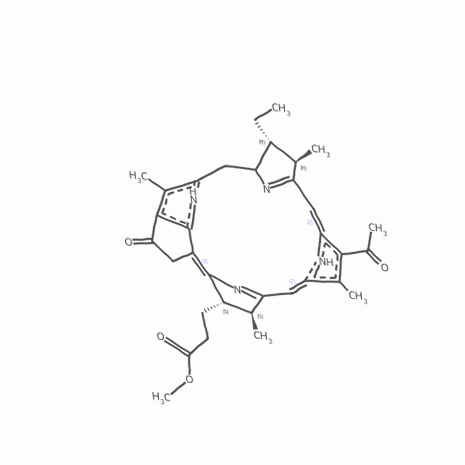 CC[C@H]1C2Cc3[nH]c4c(c3C)C(=O)C/C4=C3N=C(/C=c4\[nH]/c(c(C(C)=O)c4C)=C\C(=N2)[C@@H]1C)[C@@H](C)[C@@H]/3CCC(=O)OC